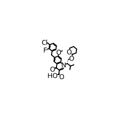 COc1cc2c(cc1Cc1cccc(Cl)c1F)c(=O)c(C(=O)O)cn2[C@H](COC1CCCCO1)C(C)C